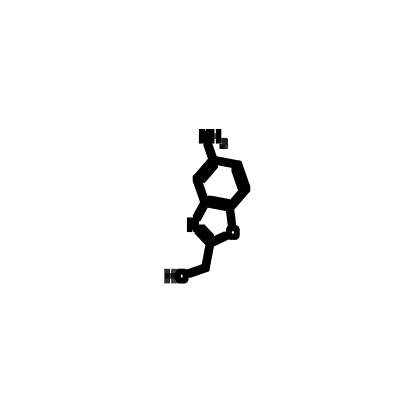 Nc1ccc2oc(CO)nc2c1